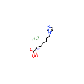 Cl.O=C(O)/C=C/CCCCCn1ccnc1